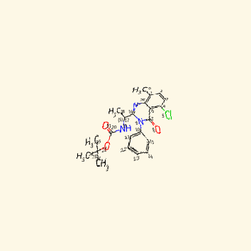 Cc1ccc(Cl)c2c(=O)n(-c3ccccc3)c([C@H](C)NC(=O)OC(C)(C)C)nc12